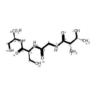 C[C@@H](O)[C@H](N)C(=O)NCC(=O)N[C@@H](CO)C(=O)N[C@@H](CS)C(=O)O